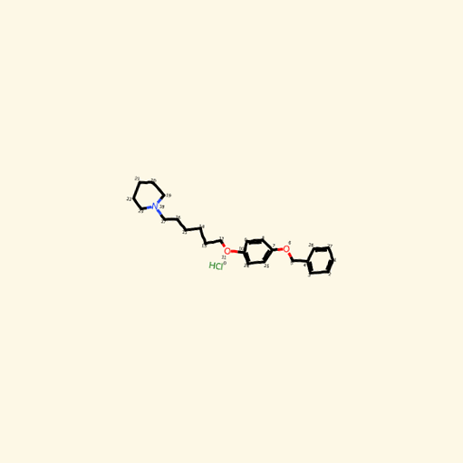 Cl.c1ccc(COc2ccc(OCCCCCCN3CCCCC3)cc2)cc1